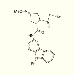 CCn1c2ccccc2c2cc(NC(=O)[C@@H]3C/C(=N\OC)CN3C(=O)CC(C)=O)ccc21